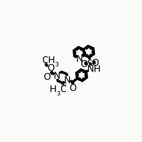 CCOC(=O)N1CCN(C(=O)c2ccc(NS(=O)(=O)c3cccc4cccnc34)cc2)[C@H](C)C1